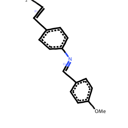 COc1ccc(/C=N/c2ccc(/C=C/C(=O)O)cc2)cc1